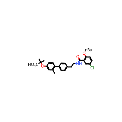 CCCCOc1ccc(Cl)cc1C(=O)NCCc1ccc(-c2ccc(OC(C)(C)C(=O)O)cc2C)cc1